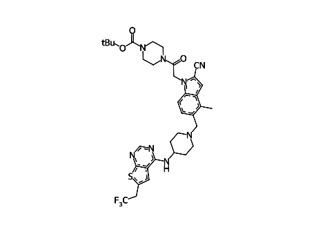 Cc1c(CN2CCC(Nc3ncnc4sc(CC(F)(F)F)cc34)CC2)ccc2c1cc(C#N)n2CC(=O)N1CCN(C(=O)OC(C)(C)C)CC1